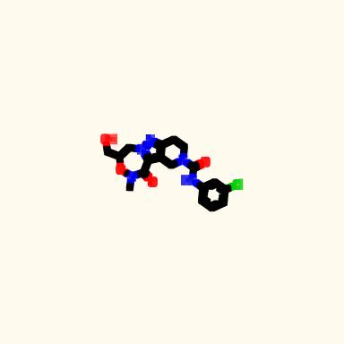 CN1OC(CO)Cn2nc3c(c2C1=O)CN(C(=O)Nc1cccc(Cl)c1)CC3